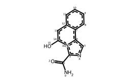 NC(=O)c1ncc2c3ccccc3cc(O)n12